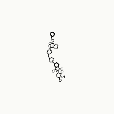 O=C1CCC(N2C(=O)c3ccc(N4CCC(CC5CCN(C(=O)C6CCCCN6C(=O)OCc6ccccc6)CC5)CC4)cc3C2=O)C(=O)N1